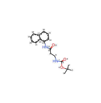 CC(C)(C)OC(=O)NCCC(=O)Nc1cccc2ccccc12